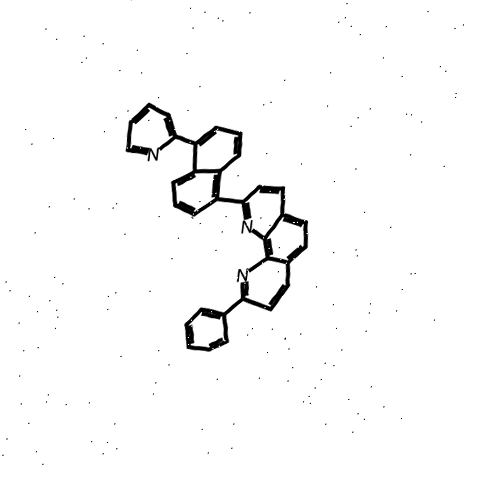 c1ccc(-c2ccc3ccc4ccc(-c5cccc6c(-c7ccccn7)cccc56)nc4c3n2)cc1